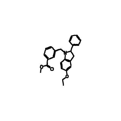 CCOc1ccc2c(c1)CC(c1ccccc1)N2Cc1cccc(C(=O)OC)c1